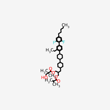 C=C(C)C(=O)OCC(COC(=O)C(C)(C)CO)CC1CCC(C2CCC(c3ccc(-c4c(F)cc(CCCCC)cc4F)cc3CC)CC2)CC1